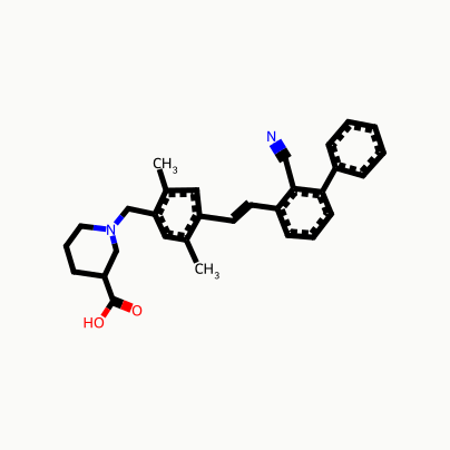 Cc1cc(CN2CCCC(C(=O)O)C2)c(C)cc1C=Cc1cccc(-c2ccccc2)c1C#N